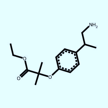 CCOC(=O)C(C)(C)Oc1ccc(C(C)CN)cc1